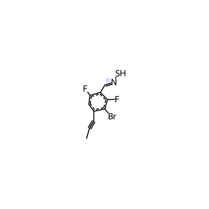 CC#Cc1cc(F)c(/C=N/S)c(F)c1Br